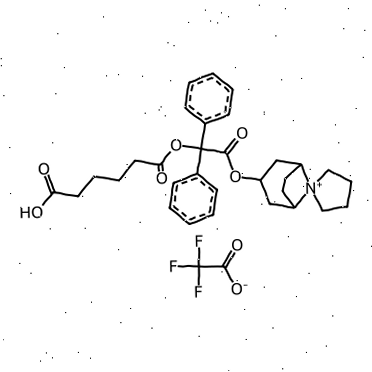 O=C(O)CCCCC(=O)OC(C(=O)OC1CC2CCC(C1)[N+]21CCCC1)(c1ccccc1)c1ccccc1.O=C([O-])C(F)(F)F